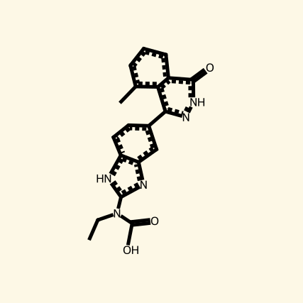 CCN(C(=O)O)c1nc2cc(-c3n[nH]c(=O)c4cccc(C)c34)ccc2[nH]1